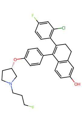 Oc1ccc2c(c1)CCC(c1ccc(F)cc1Cl)=C2c1ccc(O[C@H]2CCN(CCCF)C2)cc1